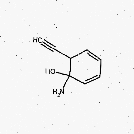 C#CC1C=CC=CC1(N)O